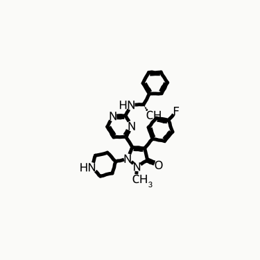 C[C@H](Nc1nccc(-c2c(-c3ccc(F)cc3)c(=O)n(C)n2C2CCNCC2)n1)c1ccccc1